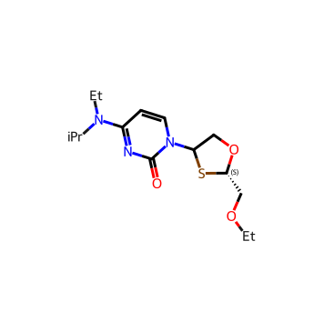 CCOC[C@H]1OCC(n2ccc(N(CC)C(C)C)nc2=O)S1